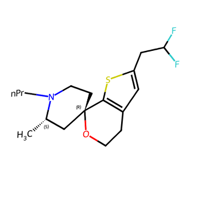 CCCN1CC[C@]2(C[C@@H]1C)OCCc1cc(CC(F)F)sc12